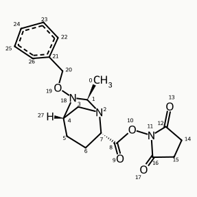 C[C@H]1N2C[C@H](CC[C@H]2C(=O)ON2C(=O)CCC2=O)N1OCc1ccccc1